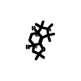 C[C@H]1C(C)(C)C2=C3OC(C)(C)C[C@@H]3CC[C@@H]2C1(C)C